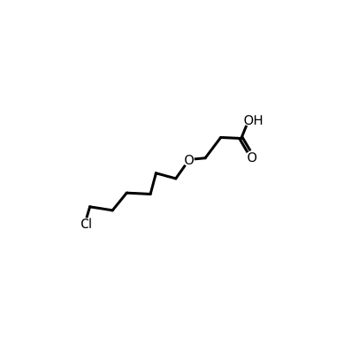 O=C(O)CCOCCCCCCCl